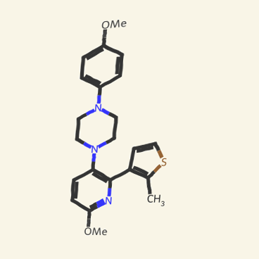 COc1ccc(N2CCN(c3ccc(OC)nc3-c3ccsc3C)CC2)cc1